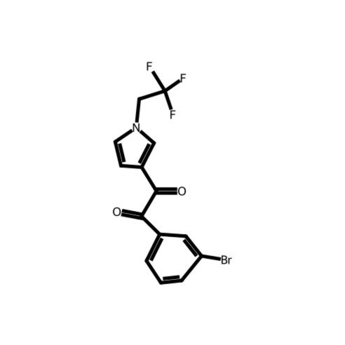 O=C(C(=O)c1ccn(CC(F)(F)F)c1)c1cccc(Br)c1